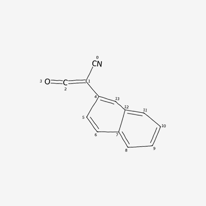 N#CC(=C=O)c1ccc2ccccc2c1